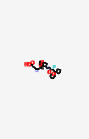 O=C(O)CC/C=C\CCC1C(/C=C/C(OC2CCCCO2)C(F)CC2CCCC2)CCC12OCCO2